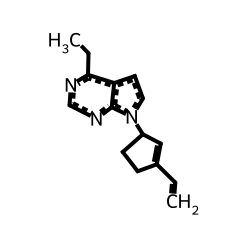 C=CC1=CC(n2ccc3c(CC)ncnc32)CC1